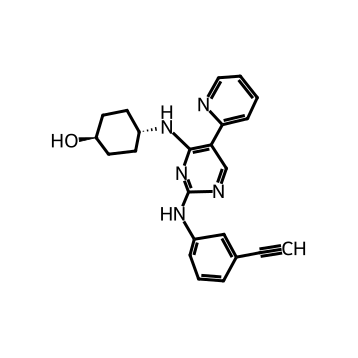 C#Cc1cccc(Nc2ncc(-c3ccccn3)c(N[C@H]3CC[C@H](O)CC3)n2)c1